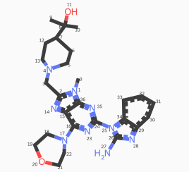 Cn1c(CN2CCC(C(C)(C)O)CC2)nc2c(N3CCOCC3)nc(-n3c(N)nc4ccccc43)nc21